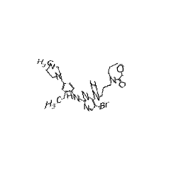 CCc1cc(N2CCN(C)CC2)ccc1Nc1ncc(Br)c(NCCCN2CCCOCC2=O)n1